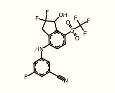 N#Cc1cc(F)cc(Nc2ccc(S(=O)(=O)C(F)(F)F)c3c2CC(F)(F)C3O)c1